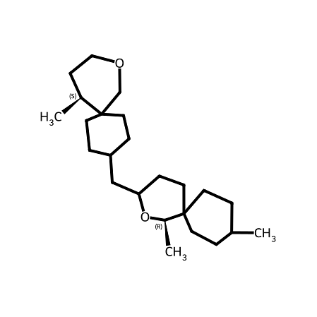 CC1CCC2(CC1)CCC(CC1CCC3(CC1)COCC[C@@H]3C)O[C@@H]2C